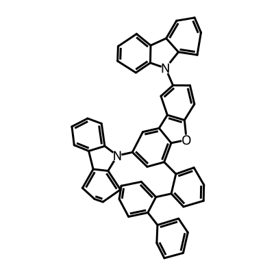 c1ccc(-c2ccccc2-c2ccccc2-c2cc(-n3c4ccccc4c4ccccc43)cc3c2oc2ccc(-n4c5ccccc5c5ccccc54)cc23)cc1